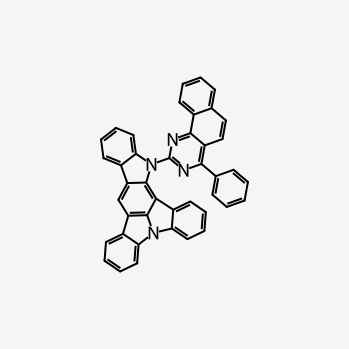 c1ccc(-c2nc(-n3c4ccccc4c4cc5c6ccccc6n6c7ccccc7c(c43)c56)nc3c2ccc2ccccc23)cc1